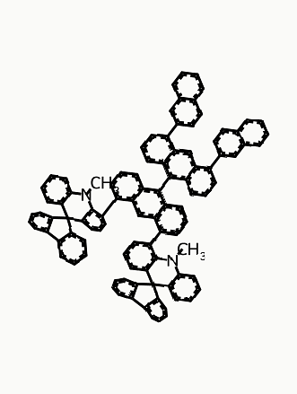 CN1c2ccccc2C2(c3ccccc3-c3ccccc32)c2cccc(-c3cccc4c(-c5c6cccc(-c7ccc8ccccc8c7)c6cc6c(-c7ccc8ccccc8c7)cccc56)c5cccc(-c6cccc7c6N(C)c6ccccc6C76c7ccccc7-c7ccccc76)c5cc34)c21